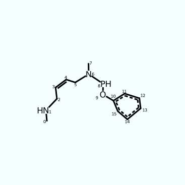 CNC/C=C\CN(C)POc1ccccc1